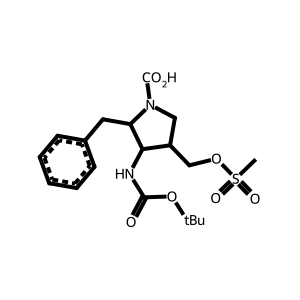 CC(C)(C)OC(=O)NC1C(COS(C)(=O)=O)CN(C(=O)O)C1Cc1ccccc1